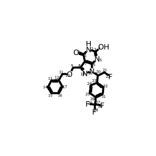 O=c1[nH]c(O)nc2c1c(COCc1ccccc1)nn2C(CF)c1ccc(C(F)(F)F)cc1